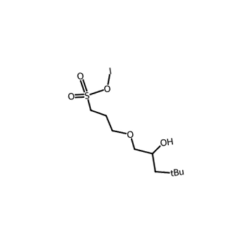 CC(C)(C)CC(O)COCCCS(=O)(=O)OI